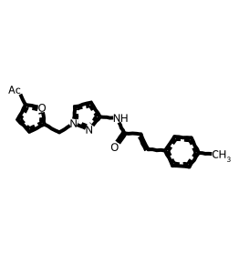 CC(=O)c1ccc(Cn2ccc(NC(=O)C=Cc3ccc(C)cc3)n2)o1